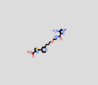 Cn1cc(N)c(C(=O)NCCOCCCc2cc(-c3nc(C(=O)O)cs3)ccn2)n1